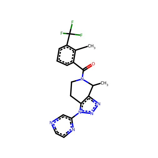 Cc1c(C(=O)N2CCc3c(nnn3-c3cnccn3)C2C)cccc1C(F)(F)F